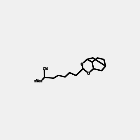 [CH2]CCCCCCCCC(C#N)CCCCC[C]1OC2CC3CCC2C(C3)O1